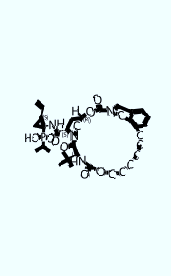 C=C[C@@H]1C[C@]1(NC(=O)[C@@H]1C[C@@H]2CN1C(=O)[C@H](C(C)(C)C)NC(=O)OCCCCCCc1cccc3c1CN(C3)C(=O)O2)P(=O)(O)C(C)C